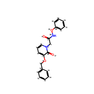 O=C(Cn1cccc(OCc2ccccc2)c1=O)NOc1ccccc1